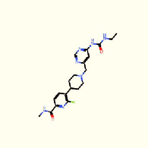 CCNC(=O)Nc1cc(CN2CCC(c3ccc(C(=O)NC)nc3F)CC2)ncn1